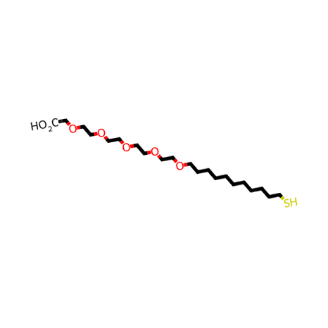 O=C(O)COCCOCCOCCOCCOCCCCCCCCCCCS